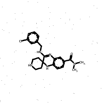 CN(C)C(=O)c1ccc2c(c1)N=C(NCc1cccc(Cl)c1)C1(CCNCC1)N2